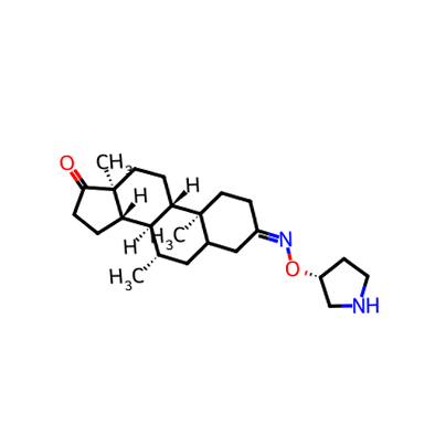 C[C@H]1CC2CC(=NO[C@@H]3CCNC3)CC[C@]2(C)[C@H]2CC[C@]3(C)C(=O)CC[C@H]3[C@H]12